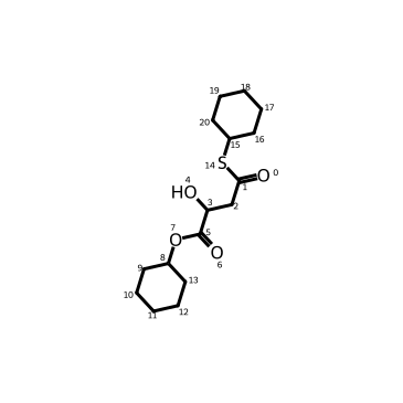 O=C(CC(O)C(=O)OC1CCCCC1)SC1CCCCC1